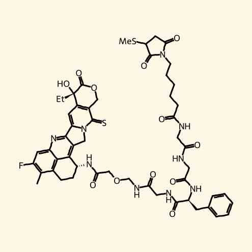 CC[C@@]1(O)C(=O)OCc2c1cc1n(c2=S)Cc2c-1nc1cc(F)c(C)c3c1c2[C@H](NC(=O)COCNC(=O)CNC(=O)[C@H](Cc1ccccc1)NC(=O)CNC(=O)CNC(=O)CCCCCN1C(=O)CC(SC)C1=O)CC3